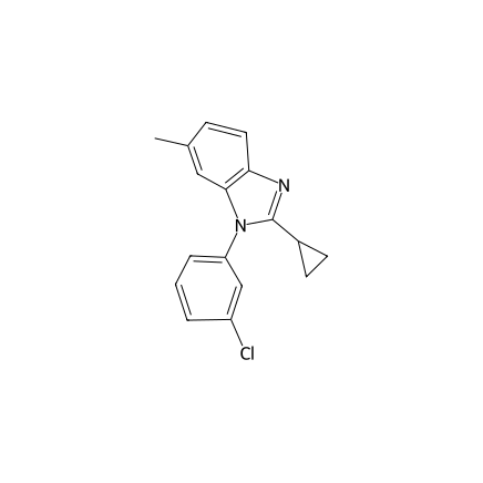 Cc1ccc2nc(C3CC3)n(-c3cccc(Cl)c3)c2c1